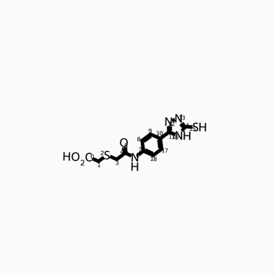 O=C(O)CSCC(=O)Nc1ccc(-c2nnc(S)[nH]2)cc1